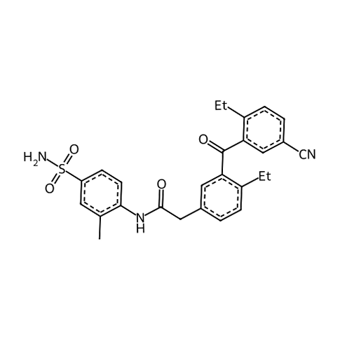 CCc1ccc(C#N)cc1C(=O)c1cc(CC(=O)Nc2ccc(S(N)(=O)=O)cc2C)ccc1CC